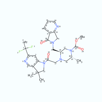 CCCC(F)(F)c1cc2c(cn1)C(C)(C)CN2C(=O)CN1C[C@@H](C)N(C(=O)OC(C)(C)C)C[C@@H]1CN1Cc2ncccc2C1=O